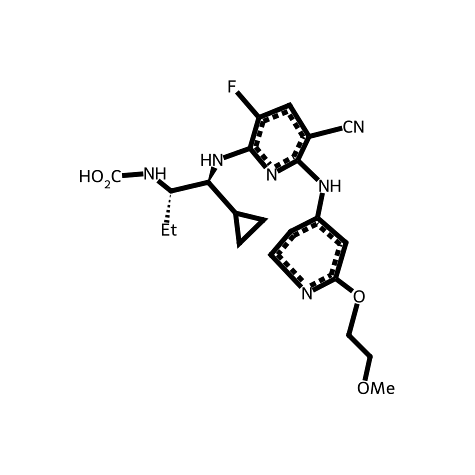 CC[C@H](NC(=O)O)[C@@H](Nc1nc(Nc2ccnc(OCCOC)c2)c(C#N)cc1F)C1CC1